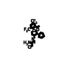 CC(OC1OCC[C@@H](C=NN=C(N)CCl)[C@@H]1c1ccccc1)c1cc(C(F)(F)F)cc(C(F)(F)F)c1